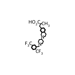 CC(Cc1ccc2c(c1)CN(C1CCN(Cc3cc(C(F)(F)F)ccc3C(F)(F)F)CC1)CC2)C(=O)O